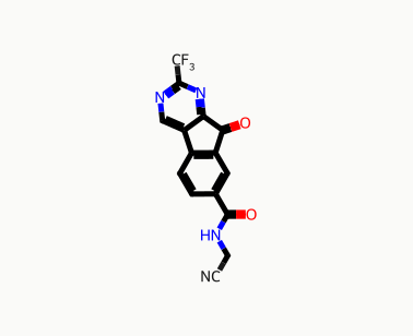 N#CCNC(=O)c1ccc2c(c1)C(=O)c1nc(C(F)(F)F)ncc1-2